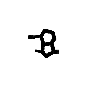 Cc1c[nH]c2cccc(N=O)c12